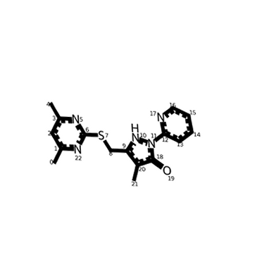 Cc1cc(C)nc(SCc2[nH]n(-c3ccccn3)c(=O)c2C)n1